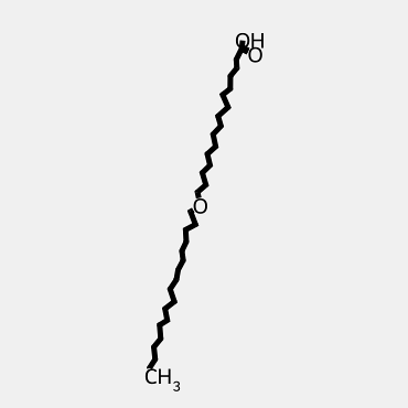 CCCCCCCCCCCCCCCCCCOCCCCCCCCCCCCCCCC(=O)O